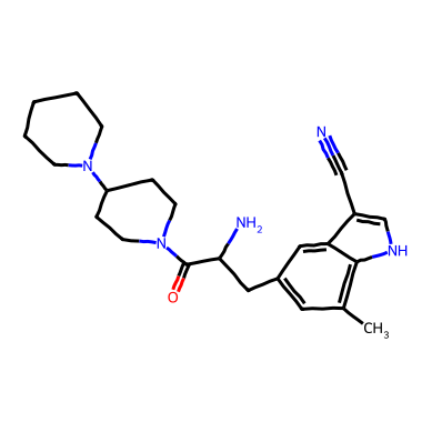 Cc1cc(CC(N)C(=O)N2CCC(N3CCCCC3)CC2)cc2c(C#N)c[nH]c12